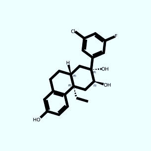 CC[C@@]12C[C@H](O)[C@](O)(c3cc(F)cc(Cl)c3)C[C@H]1CCc1cc(O)ccc12